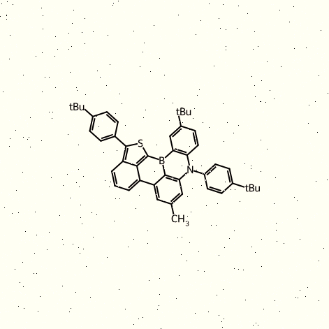 Cc1cc2c3c(c1)N(c1ccc(C(C)(C)C)cc1)c1ccc(C(C)(C)C)cc1B3c1sc(-c3ccc(C(C)(C)C)cc3)c3cccc-2c13